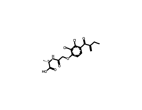 C=C(CC)C(=O)c1ccc(OCC(=O)N[C@@H](C)C(=O)O)c(Cl)c1Cl